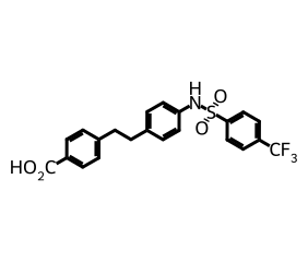 O=C(O)c1ccc(CCc2ccc(NS(=O)(=O)c3ccc(C(F)(F)F)cc3)cc2)cc1